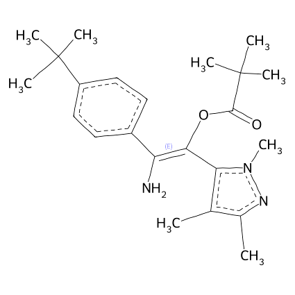 Cc1nn(C)c(/C(OC(=O)C(C)(C)C)=C(\N)c2ccc(C(C)(C)C)cc2)c1C